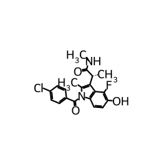 CNC(=O)[C@H](C)c1c(C)n(C(=O)c2ccc(Cl)cc2)c2ccc(O)c(F)c12